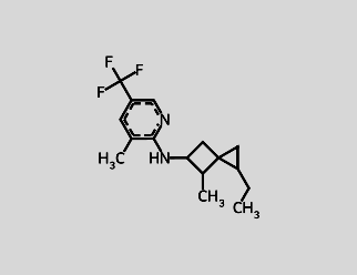 CCC1CC12CC(Nc1ncc(C(F)(F)F)cc1C)C2C